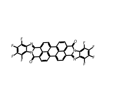 O=c1c2ccc3c4ccc5c6c(ccc(c7ccc(c2c37)c2nc3c(F)c(F)c(F)c(F)c3n12)c46)c(=O)n1c5nc2c(F)c(F)c(F)c(F)c21